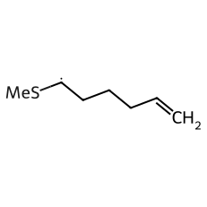 C=CCCC[CH]SC